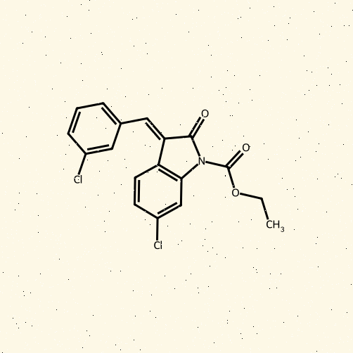 CCOC(=O)N1C(=O)/C(=C/c2cccc(Cl)c2)c2ccc(Cl)cc21